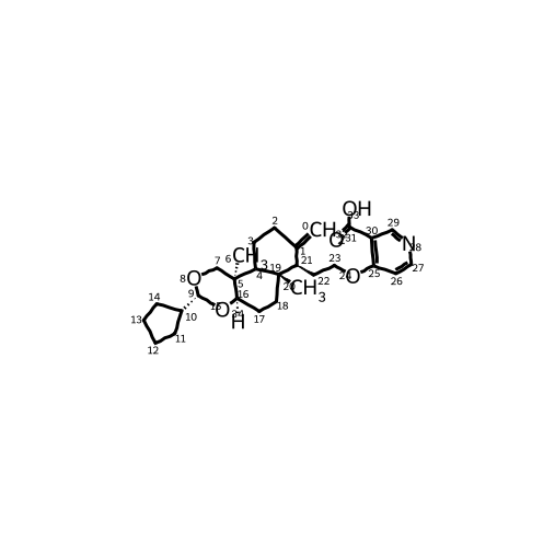 C=C1CCC2[C@]3(C)CO[C@@H](C4CCCC4)O[C@@H]3CC[C@@]2(C)[C@@H]1CCOc1ccncc1C(=O)O